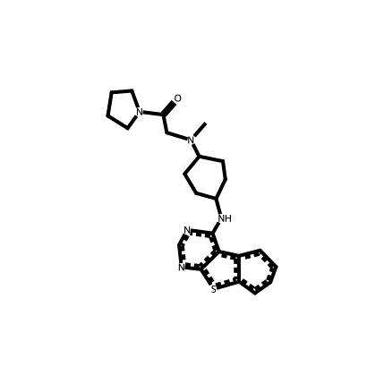 CN(CC(=O)N1CCCC1)C1CCC(Nc2ncnc3sc4ccccc4c23)CC1